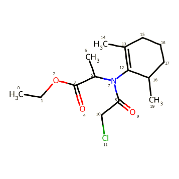 CCOC(=O)C(C)N(C(=O)CCl)C1=C(C)CCCC1C